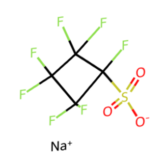 O=S(=O)([O-])C1(F)C(F)(F)C(F)(F)C1(F)F.[Na+]